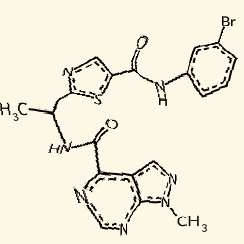 CC(NC(=O)c1ncnc2c1cnn2C)c1ncc(C(=O)Nc2cccc(Br)c2)s1